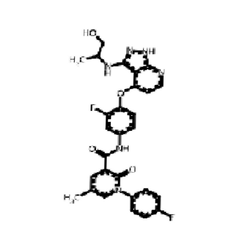 Cc1cc(C(=O)Nc2ccc(Oc3ccnc4[nH]nc(NC(C)CO)c34)c(F)c2)c(=O)n(-c2ccc(F)cc2)c1